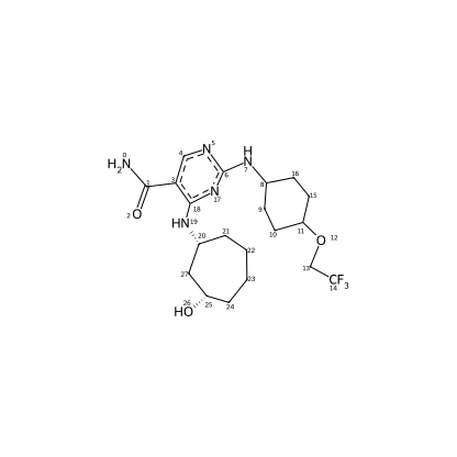 NC(=O)c1cnc(NC2CCC(OCC(F)(F)F)CC2)nc1N[C@@H]1CCCC[C@H](O)C1